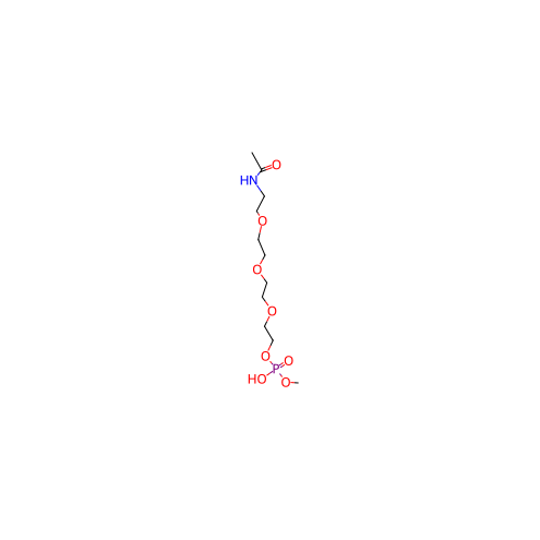 COP(=O)(O)OCCOCCOCCOCCNC(C)=O